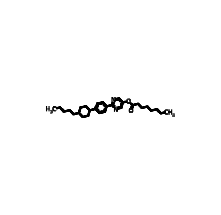 CCCCCCCC(=O)Oc1cnc(-c2ccc(C3CCC(CCCCC)CC3)cc2)nc1